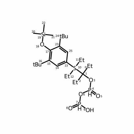 CCC(CC)(O[PH](=O)O[PH](=O)O)S(CC)(CC)c1cc(C(C)(C)C)c(O[Si](C)(C)C)c(C(C)(C)C)c1